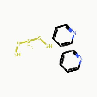 SS[SH2]SS.c1ccncc1.c1ccncc1